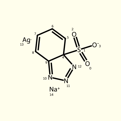 O=S(=O)([O-])C12C=CC=CC1=NN=N2.[Ag].[Na+]